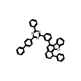 C1=Cc2cc(-c3cccc(-c4nc(-c5ccccc5)nc(-c5ccc(-c6ccccc6)cc5)n4)c3)c3c(oc4ccccc43)c2C(c2ccccc2)C1